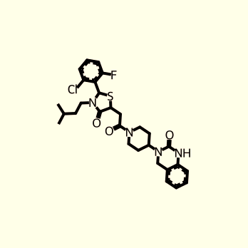 CC(C)CCN1C(=O)C(CC(=O)N2CCC(N3Cc4ccccc4NC3=O)CC2)SC1c1c(F)cccc1Cl